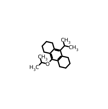 CC(C)Oc1c2c(c(C(C)C)c3c1CCCC3)CCCC2